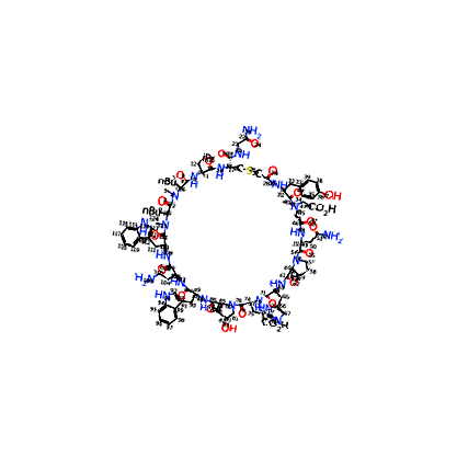 CCCC[C@H]1C(=O)N(C)[C@@H](CCCC)C(=O)N[C@@H](CC(C)C)C(=O)N[C@H](C(=O)NCC(N)=O)CSCC(=O)N[C@@H](Cc2ccc(O)cc2)C(=O)N(CC(=O)O)CC(=O)N[C@@H](CC(N)=O)C(=O)N2CCC[C@H]2C(=O)N[C@@H](Cc2cnc[nH]2)C(=O)N[C@@H](CCC(=O)O)C(=O)N2C[C@H](O)C[C@H]2C(=O)N[C@@H](Cc2c[nH]c3ccccc23)C(=O)N[C@@H](CCN)C(=O)N[C@@H](Cc2c[nH]c3ccccc23)C(=O)N1C